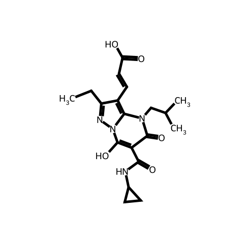 CCc1nn2c(O)c(C(=O)NC3CC3)c(=O)n(CC(C)C)c2c1/C=C/C(=O)O